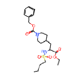 CCCCS(=O)(=O)NC(CC1CCN(C(=O)OCc2ccccc2)CC1)C(=O)OCC